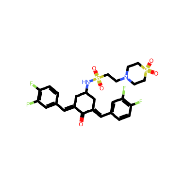 O=C1/C(=C/c2ccc(F)c(F)c2)CC(NS(=O)(=O)CCN2CCS(=O)(=O)CC2)C/C1=C\c1ccc(F)c(F)c1